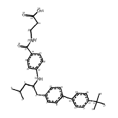 CC(C)CC(Cc1ccc(-c2ccc(C(C)(C)C)cc2)cc1)Nc1ccc(C(=O)NCCC(=O)O)cc1